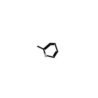 CC1=C=CC=CS1